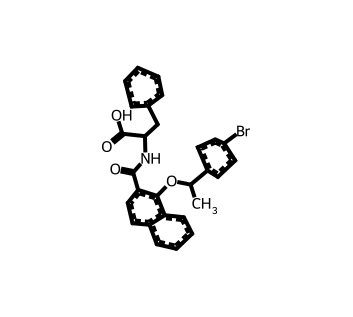 CC(Oc1c(C(=O)NC(Cc2ccccc2)C(=O)O)ccc2ccccc12)c1ccc(Br)cc1